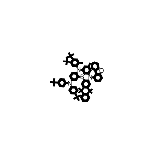 Cc1cc2c3c(c1)N(c1cccc4oc5ccccc5c14)c1cc4c(cc1B3c1cc(N(c3ccc(C(C)(C)C)cc3)c3ccc(C(C)(C)C)cc3)ccc1N2c1cc2c(cc1C)C(C)(C)CC2(C)C)C(C)(C)c1ccccc1C4(C)C